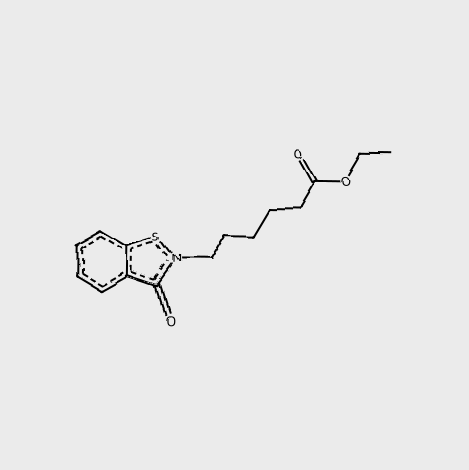 CCOC(=O)CCCCCn1sc2ccccc2c1=O